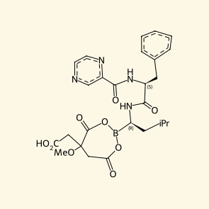 COC1(CC(=O)O)CC(=O)OB([C@H](CC(C)C)NC(=O)[C@H](Cc2ccccc2)NC(=O)c2cnccn2)OC1=O